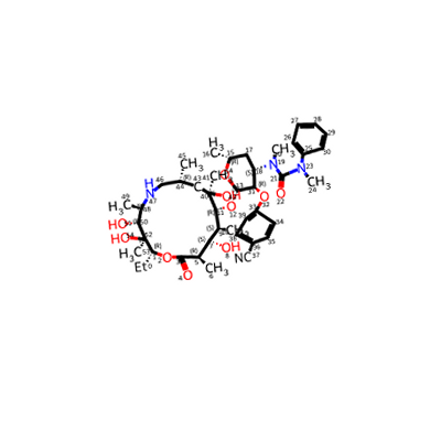 CC[C@H]1OC(=O)[C@H](C)[C@@H](O)[C@H](C)[C@@H](O[C@@H]2O[C@H](C)C[C@H](N(C)C(=O)N(C)c3ccccc3)[C@H]2Oc2ccc(C#N)cc2)[C@](C)(O)C[C@@H](C)CN[C@H](C)[C@@H](O)[C@]1(C)O